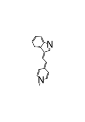 CN1C=CC(=C/C=C2\C=Nc3ccccc32)C=C1